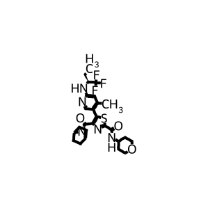 CC[C@H](Nc1cc(C)c(-c2sc(C(=O)NC3CCOCC3)nc2C(=O)N2C3CCC2CC3)cn1)C(F)(F)F